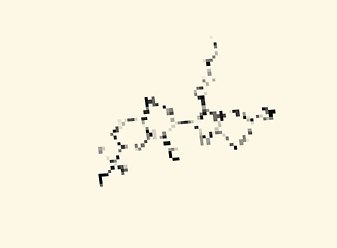 CCSOOc1c(-c2cnc3ccc(C(F)(F)F)cn3c2=O)nc2ccc(Br)cn12